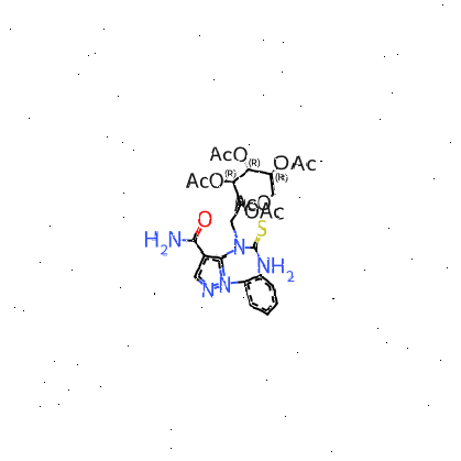 CC(=O)OC[C@@H](OC(C)=O)[C@@H](OC(C)=O)[C@H](OC(C)=O)[C@H](CN(C(N)=S)c1c(C(N)=O)cnn1-c1ccccc1)OC(C)=O